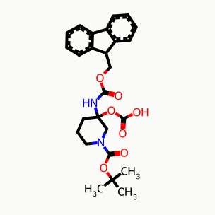 CC(C)(C)OC(=O)N1CCCC(NC(=O)OCC2c3ccccc3-c3ccccc32)(OC(=O)O)C1